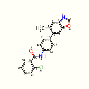 Cc1cc2ncoc2cc1-c1ccc(NC(=O)c2ccccc2Cl)cc1